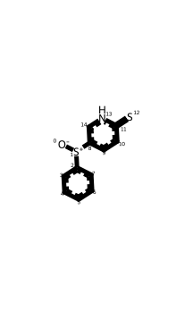 [O-][S+](c1ccccc1)c1ccc(=S)[nH]c1